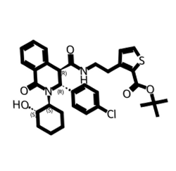 CC(C)(C)OC(=O)c1sccc1CCNC(=O)[C@@H]1c2ccccc2C(=O)N([C@H]2CCCC[C@@H]2O)[C@H]1c1ccc(Cl)cc1